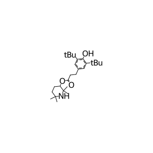 CC1(C)CCC(OC(=O)CCc2cc(C(C)(C)C)c(O)c(C(C)(C)C)c2)C(C)(C)N1